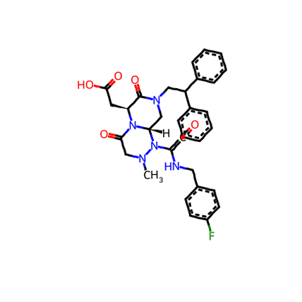 CN1CC(=O)N2[C@@H](CC(=O)O)C(=O)N(CC(c3ccccc3)c3ccccc3)C[C@@H]2N1C(=C=O)NCc1ccc(F)cc1